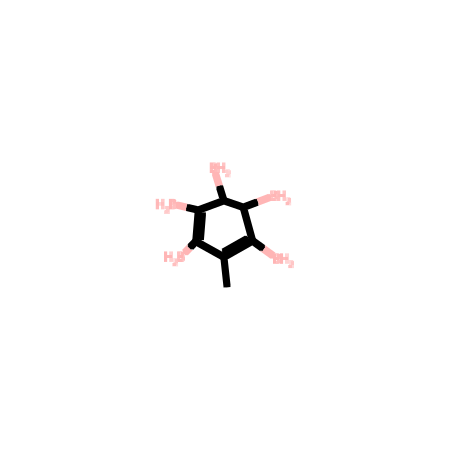 BC1=C(B)C(B)C(B)C(B)=C1C